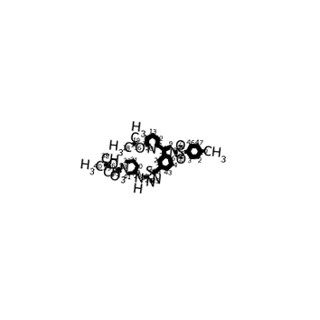 Cc1ccc(S(=O)(=O)n2cc(-c3cccc(OC(C)C)n3)c3cc(-c4nnc(N[C@@H]5CCCN(C(=O)OC(C)(C)C)C5)s4)ccc32)cc1